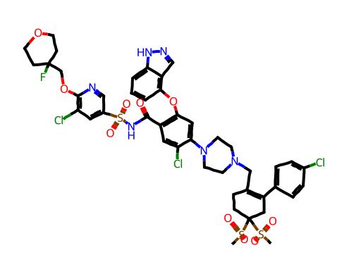 CS(=O)(=O)C1(S(C)(=O)=O)CCC(CN2CCN(c3cc(Oc4cccc5[nH]ncc45)c(C(=O)NS(=O)(=O)c4cnc(OCC5(F)CCOCC5)c(Cl)c4)cc3Cl)CC2)=C(c2ccc(Cl)cc2)C1